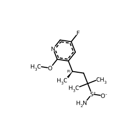 COc1ncc(F)cc1[C@H](C)CC(C)(C)[S+](N)[O-]